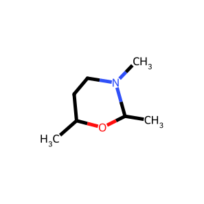 CC1CCN(C)C(C)O1